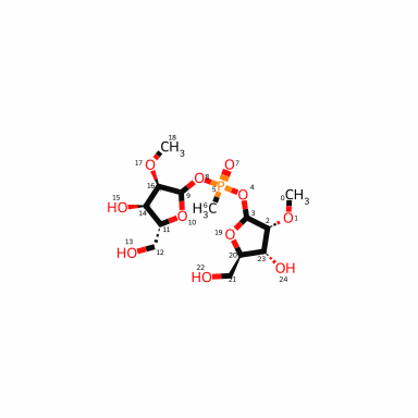 CO[C@H]1C(OP(C)(=O)OC2O[C@H](CO)[C@@H](O)[C@H]2OC)O[C@H](CO)[C@H]1O